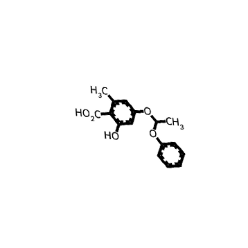 Cc1cc(OC(C)Oc2ccccc2)cc(O)c1C(=O)O